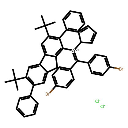 CC(C)(C)c1cc2c(cc1-c1ccccc1)Cc1c-2cc(C(C)(C)C)c(-c2ccccc2)[c]1[Zr+2](=[C](c1ccc(Br)cc1)c1ccc(Br)cc1)[CH]1C=CC=C1.[Cl-].[Cl-]